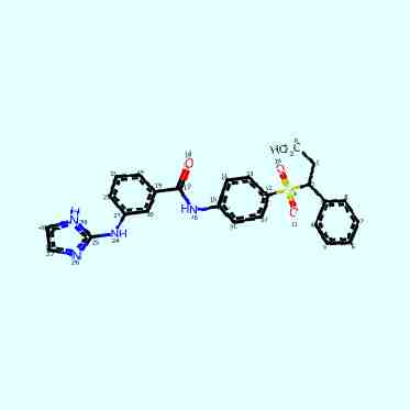 O=C(O)CC(c1ccccc1)S(=O)(=O)c1ccc(NC(=O)c2cccc(Nc3ncc[nH]3)c2)cc1